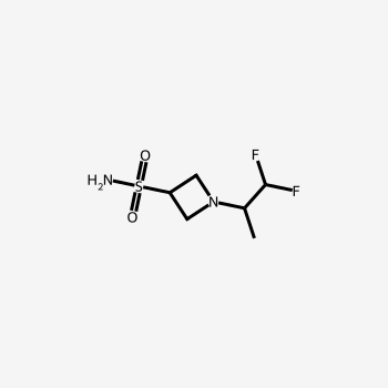 CC(C(F)F)N1CC(S(N)(=O)=O)C1